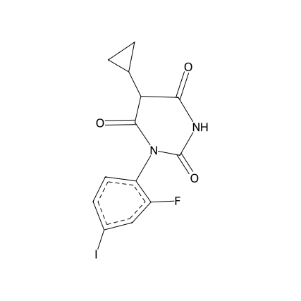 O=C1NC(=O)N(c2ccc(I)cc2F)C(=O)C1C1CC1